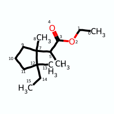 CCOC(=O)C(C)C1(C)CCCC1(C)CC